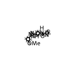 COc1cccc(-c2nnc(-c3ccc(NC(=O)c4cscn4)cc3)[nH]2)c1